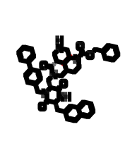 O=C1N[C@@H](Cc2ccc3ccccc3c2)C(=O)N(Cc2ccc(-c3ccccc3)cc2)[C@H]1CN(CC1CCN(C(=O)OCc2ccccc2)CC1)C(=O)[C@H]1CCCNC1